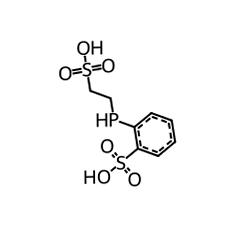 O=S(=O)(O)CCPc1ccccc1S(=O)(=O)O